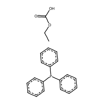 CCOC(=O)O.c1ccc(P(c2ccccc2)c2ccccc2)cc1